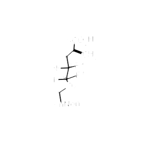 C=C(CC(F)(F)C(F)(F)OCCCCCCCCCC)C(=O)O